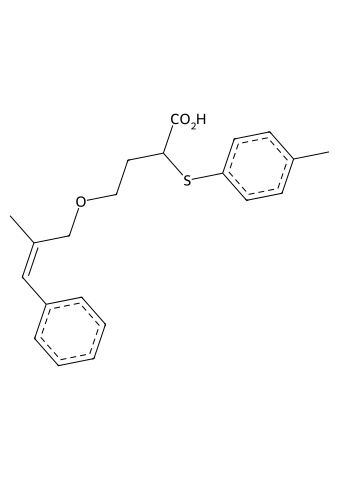 CC(=Cc1ccccc1)COCCC(Sc1ccc(C)cc1)C(=O)O